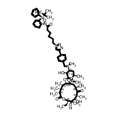 CC[C@H]1OC(=O)[C@H](C)[C@H](C)[C@H](C)[C@H](O[C@@H]2O[C@H](C)C[C@H](N(C)Cc3ccc(-c4cn(CCCCCC(=O)NO[Si](c5ccccc5)(c5ccccc5)C(C)(C)C)nn4)cc3)[C@@H]2O)[C@](C)(OC)C[C@@H](C)C(=O)[C@H](C)[C@@H](O)[C@]1(C)O